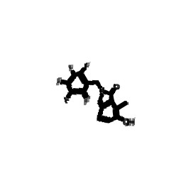 Cc1c(O)ccc2c1C(=O)N(Cc1c(F)c(F)c(F)c(F)c1F)C2